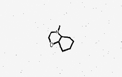 CN1CCOC2CCCCC21